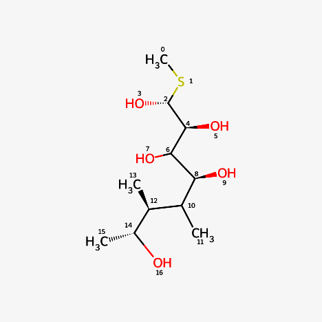 CS[C@@H](O)[C@@H](O)C(O)[C@@H](O)C(C)[C@H](C)[C@@H](C)O